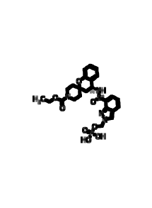 CCOC(=O)N1CCC2(CC1)C[C@H](N[S+]([O-])c1cccc3cn(COP(=O)(O)O)nc13)c1ccccc1O2